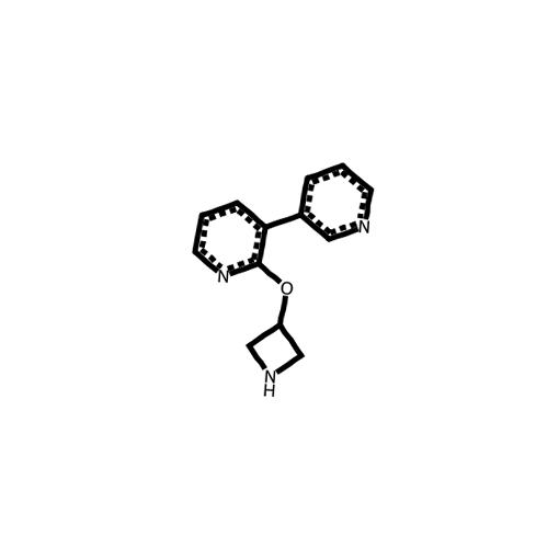 c1cncc(-c2cccnc2OC2CNC2)c1